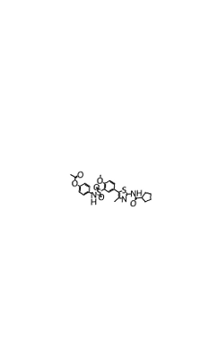 COc1ccc(-c2sc(NC(=O)C3CCCC3)nc2C)cc1S(=O)(=O)Nc1ccc(OC(C)=O)cc1